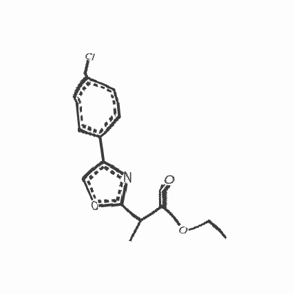 CCOC(=O)C(C)c1nc(-c2ccc(Cl)cc2)co1